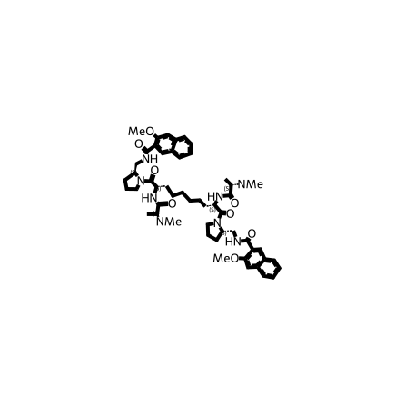 CN[C@@H](C)C(=O)N[C@@H](CCCCCC[C@H](NC(=O)[C@H](C)NC)C(=O)N1CCC[C@H]1CNC(=O)c1cc2ccccc2cc1OC)C(=O)N1CCC[C@H]1CNC(=O)c1cc2ccccc2cc1OC